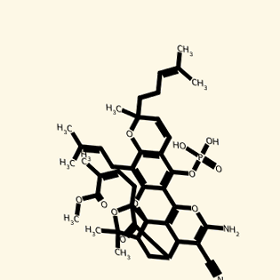 COC(=O)/C(C)=C\CC12OC(C)(C)C3CC(C1=O)C1C(C#N)=C(N)OC4=C1C32Oc1c(CC=C(C)C)c2c(c(OP(=O)(O)O)c14)C=CC(C)(CCC=C(C)C)O2